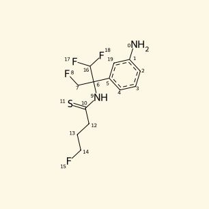 Nc1cccc(C(CF)(NC(=S)CCCF)C(F)F)c1